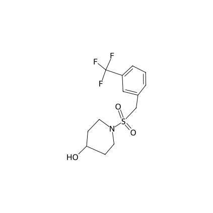 O=S(=O)(Cc1cccc(C(F)(F)F)c1)N1CCC(O)CC1